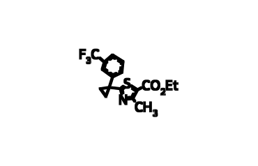 CCOC(=O)c1sc(C2(c3cccc(C(F)(F)F)c3)CC2)nc1C